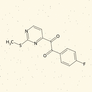 CSc1nccc(C(=O)C(=O)c2ccc(F)cc2)n1